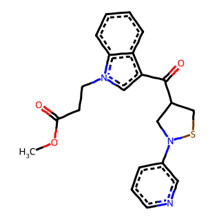 COC(=O)CCn1cc(C(=O)C2CSN(c3cccnc3)C2)c2ccccc21